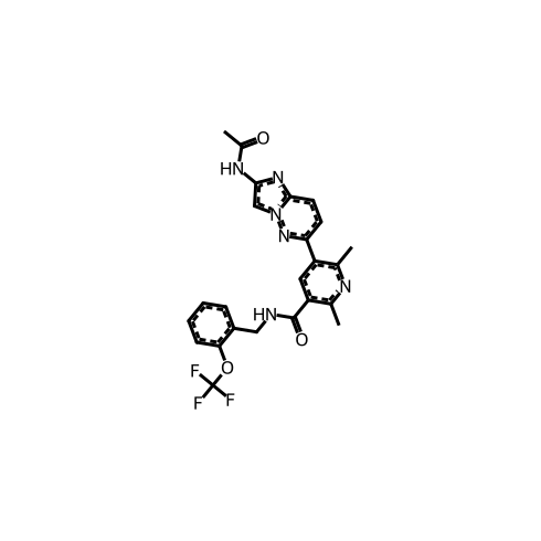 CC(=O)Nc1cn2nc(-c3cc(C(=O)NCc4ccccc4OC(F)(F)F)c(C)nc3C)ccc2n1